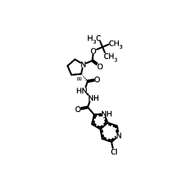 CC(C)(C)OC(=O)N1CCC[C@H]1C(=O)NNC(=O)c1cc2cc(Cl)ncc2[nH]1